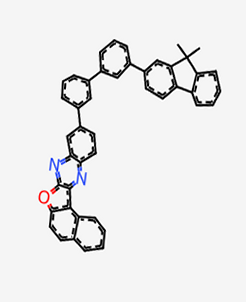 CC1(C)c2ccccc2-c2ccc(-c3cccc(-c4cccc(-c5ccc6nc7c(nc6c5)oc5ccc6ccccc6c57)c4)c3)cc21